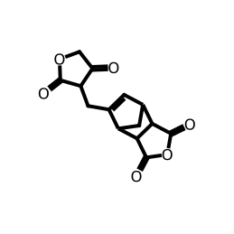 O=C1COC(=O)C1CC1=CC2CC1C1C(=O)OC(=O)C21